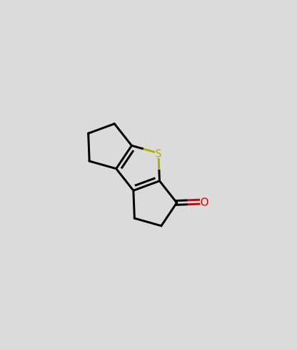 O=C1CCc2c1sc1c2CCC1